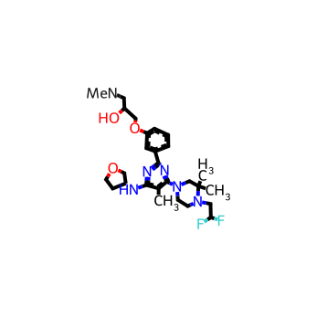 CNCC(O)COc1cccc(-c2nc(NC3CCOC3)c(C)c(N3CCN(CC(F)F)C(C)(C)C3)n2)c1